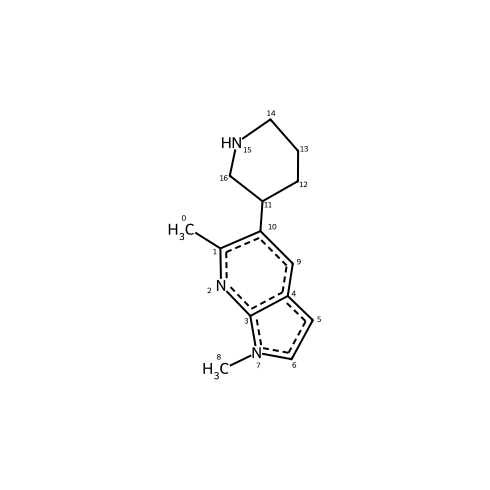 Cc1nc2c(ccn2C)cc1C1CCCNC1